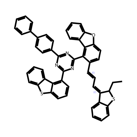 CCC1Sc2ccccc2/C1=C/C=C/c1ccc2oc3ccccc3c2c1-c1nc(-c2ccc(-c3ccccc3)cc2)nc(-c2cccc3sc4ccccc4c23)n1